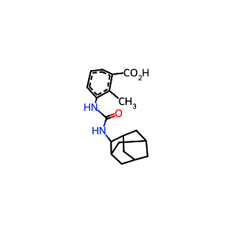 Cc1c(NC(=O)NC2C3CC4CC(C3)CC2C4)cccc1C(=O)O